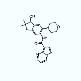 CC1(C)Cc2cc(NC(=O)c3cnn4cccnc34)c(N3CCOCC3)cc2C1O